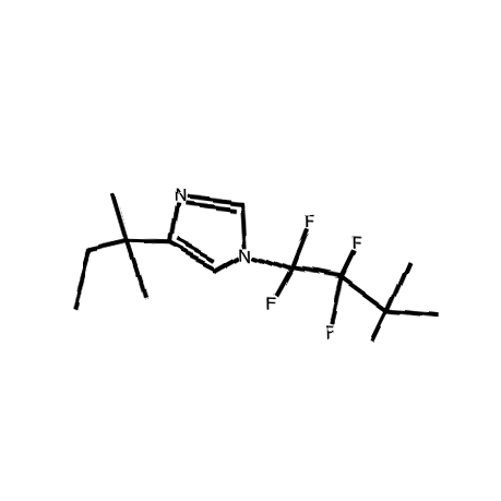 CCC(C)(C)c1cn(C(F)(F)C(F)(F)C(C)(C)C)cn1